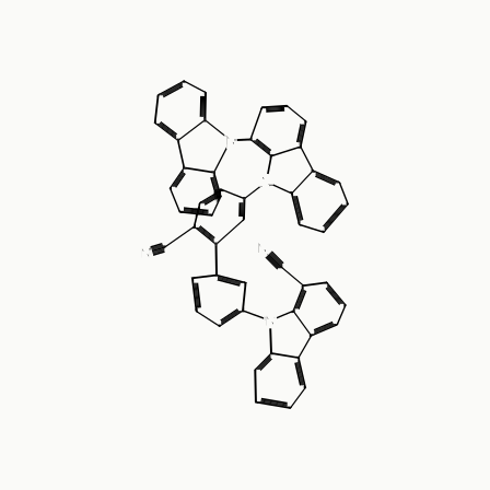 N#Cc1ccc(-n2c3ccccc3c3cccc(-n4c5ccccc5c5ccccc54)c32)cc1-c1cccc(-n2c3ccccc3c3cccc(C#N)c32)c1